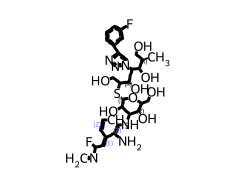 C=NC(F)/C=C(\C=C/C)C(/N)=C/NC1C(O)[C@H](SC(CO)[C@H](O)C(C(O)[C@H](C)CO)n2cc(-c3cccc(F)c3)nn2)OC(CO)[C@@H]1O